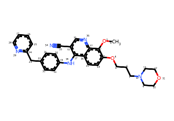 COc1c(OCCCN2CCOCC2)ccc2c(Nc3ccc(Cc4ccccn4)cc3)c(C#N)cnc12